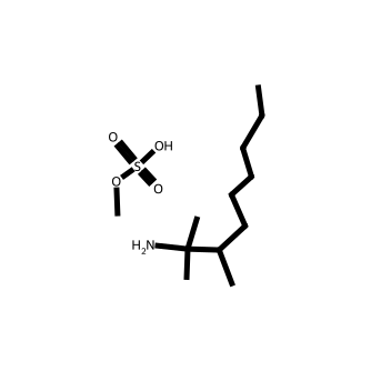 CCCCCCC(C)C(C)(C)N.COS(=O)(=O)O